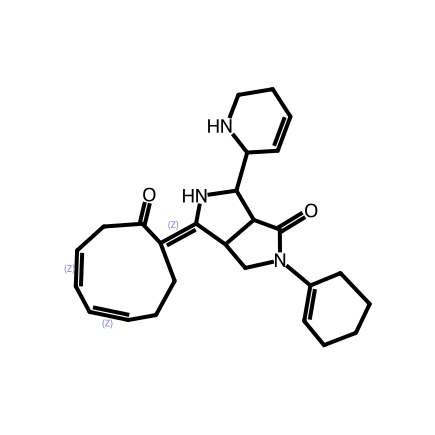 O=C1C/C=C\C=C/CC/C1=C1/NC(C2C=CCCN2)C2C(=O)N(C3=CCCCC3)CC12